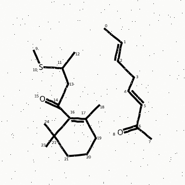 C/C=C/C/C=C/C(C)=O.CSC(C)CC(=O)C1=C(C)CCCC1(C)C